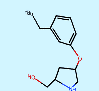 CC(C)(C)Cc1cccc(OC2CNC(CO)C2)c1